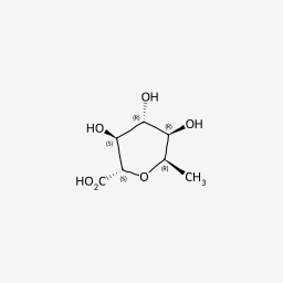 C[C@H]1O[C@H](C(=O)O)[C@@H](O)[C@H](O)[C@H]1O